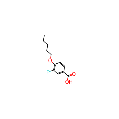 CCCCCOc1ccc(C(=O)O)cc1F